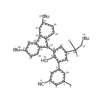 Cc1cc(C#N)cc(-c2cc(C(C)(C)CC(C)(C)C)cc(-n3c4ccc(C(C)(C)C)cc4c4cc(C(C)(C)C)ccc43)c2O)c1